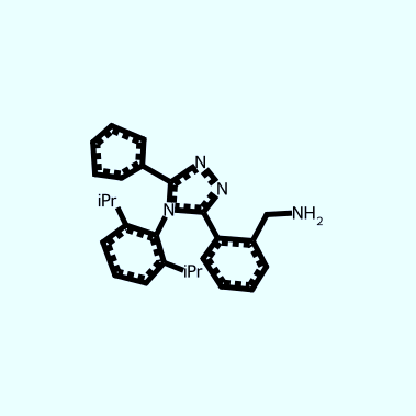 CC(C)c1cccc(C(C)C)c1-n1c(-c2ccccc2)nnc1-c1ccccc1CN